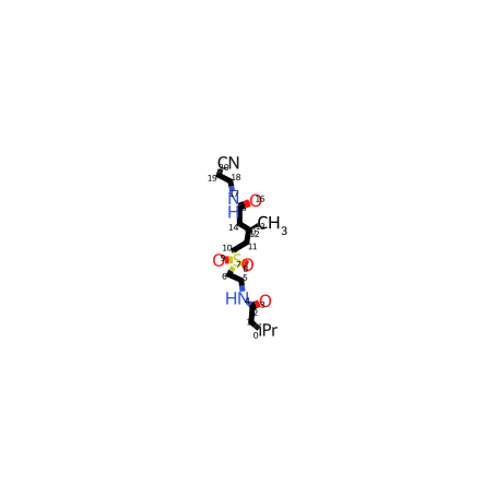 CC(C)CC(=O)NCCS(=O)(=O)CC[C@H](C)CC(=O)NCCC#N